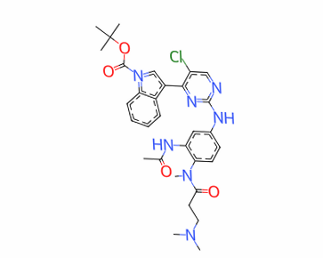 CC(=O)Nc1cc(Nc2ncc(Cl)c(-c3cn(C(=O)OC(C)(C)C)c4ccccc34)n2)ccc1N(C)C(=O)CCN(C)C